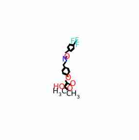 CC1(C)OC(=O)C(COc2ccc(CC=NOCc3ccc(C(F)(F)F)cc3)cc2)=C1O